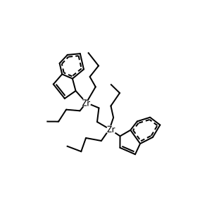 CCC[CH2][Zr]([CH2]CCC)([CH2][CH2][Zr]([CH2]CCC)([CH2]CCC)[CH]1C=Cc2ccccc21)[CH]1C=Cc2ccccc21